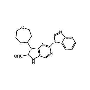 O=CC1Nc2cnc(-n3cnc4ccccc43)nc2N1C1CCCOCC1